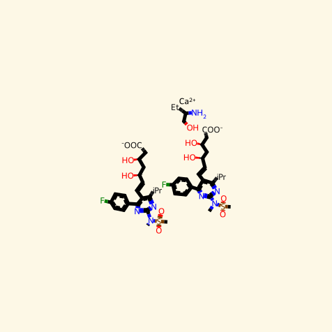 CC(C)c1nc(N(C)S(C)(=O)=O)nc(-c2ccc(F)cc2)c1C=C[C@@H](O)C[C@@H](O)CC(=O)[O-].CC(C)c1nc(N(C)S(C)(=O)=O)nc(-c2ccc(F)cc2)c1C=C[C@@H](O)C[C@@H](O)CC(=O)[O-].CCC(N)CO.[Ca+2]